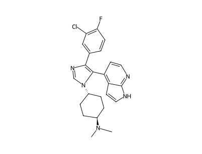 CN(C)[C@H]1CC[C@H](n2cnc(-c3ccc(F)c(Cl)c3)c2-c2ccnc3[nH]ccc23)CC1